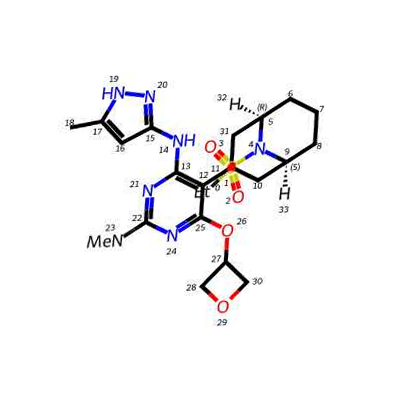 CCS(=O)(=O)N1[C@@H]2CCC[C@H]1CC(c1c(Nc3cc(C)[nH]n3)nc(NC)nc1OC1COC1)C2